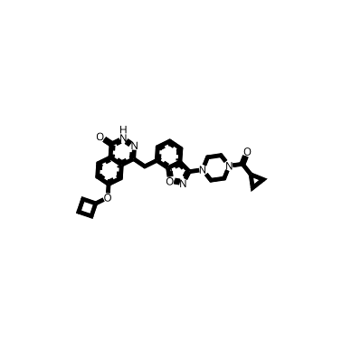 O=C(C1CC1)N1CCN(c2noc3c(Cc4n[nH]c(=O)c5ccc(OC6CCC6)cc45)cccc23)CC1